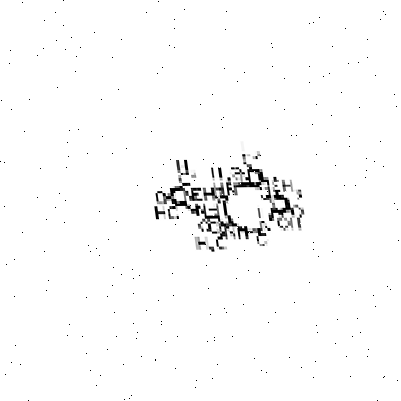 CC(=O)NC1(CCC(=O)NCc2c(O)c(=O)cc(C)n2C)CCC(=O)NCc2c(c(=O)cc(C)n2C)On2c(C)cc(=O)c(O)c2CNC(=O)CC1